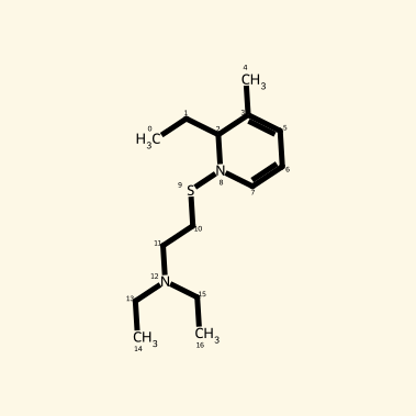 CCC1C(C)=CC=CN1SCCN(CC)CC